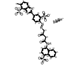 Cc1ccc2nc(-c3ccc(N=NCC(=O)CC(=O)Nc4ccc(S(=O)(=O)[O-])c5ccccc45)c(S(=O)(=O)[O-])c3)sc2c1S(=O)(=O)[O-].[Na+].[Na+].[Na+]